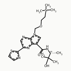 C[C@@H](NC(=O)c1cn(COCC[Si](C)(C)C)c2ncc(-c3nccs3)nc12)C(C)(C)O